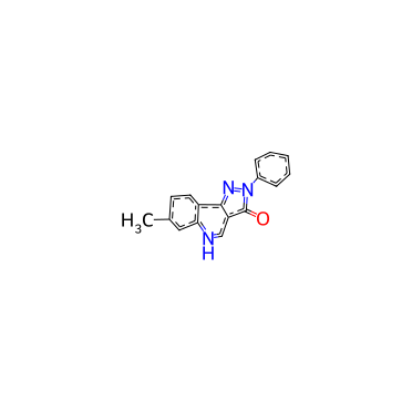 Cc1ccc2c3nn(-c4ccccc4)c(=O)c-3c[nH]c2c1